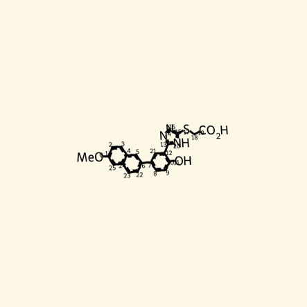 COc1ccc2cc(-c3ccc(O)c(-c4nnc(SCC(=O)O)[nH]4)c3)ccc2c1